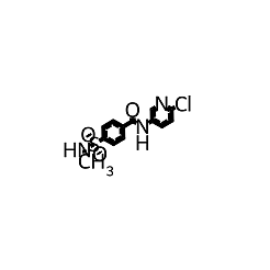 CNS(=O)(=O)c1ccc(C(=O)Nc2ccc(Cl)nc2)cc1